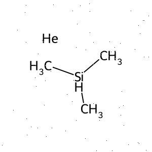 C[SiH](C)C.[He]